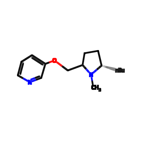 CCCC[C@H]1CCC(COc2cccnc2)N1C